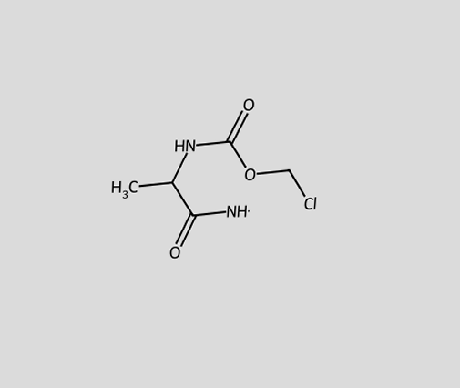 CC(NC(=O)OCCl)C([NH])=O